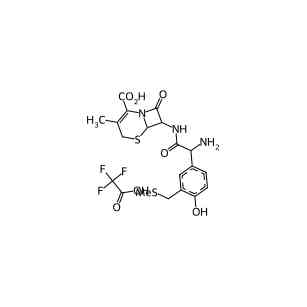 CSCc1cc(C(N)C(=O)NC2C(=O)N3C(C(=O)O)=C(C)CSC23)ccc1O.O=C(O)C(F)(F)F